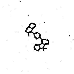 Cc1ccc2ccccc2c1-c1ccc(-c2cccc3c2-c2ccccc2C3(C)C)cc1